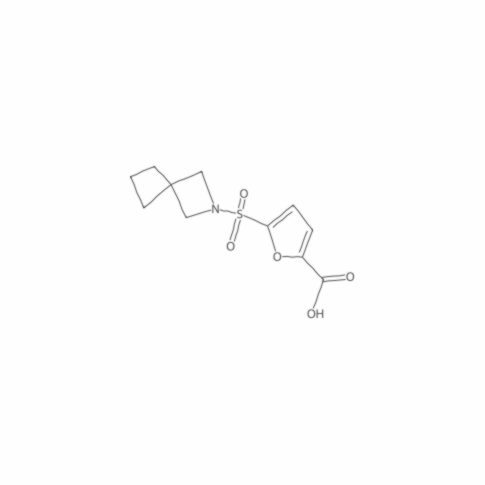 O=C(O)c1ccc(S(=O)(=O)N2CC3(CCC3)C2)o1